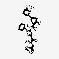 CNc1cccc(-c2ccc(Cl)c(C(=O)Nc3cc(C(=O)NCc4cocn4)nn3-c3ccccc3)c2)n1